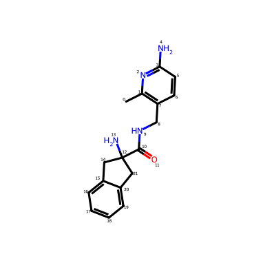 Cc1nc(N)ccc1CNC(=O)C1(N)Cc2ccccc2C1